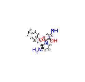 CC(C)C1CCC(OC[C@H]2[C@@H](N)CCCN2C(=O)/C(O)=C/C=N)CC1